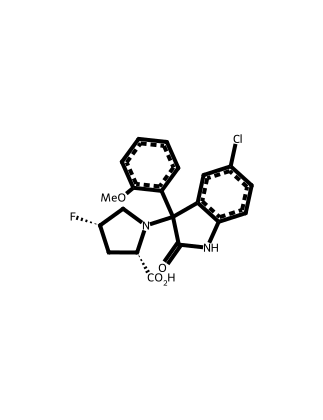 COc1ccccc1C1(N2C[C@@H](F)C[C@H]2C(=O)O)C(=O)Nc2ccc(Cl)cc21